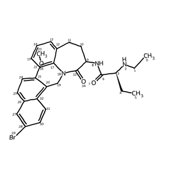 CCN[C@@H](CC)C(=O)NC1CCc2ccccc2N(Cc2c(OC)ccc3cc(Br)ccc23)C1=O